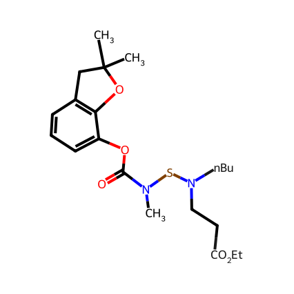 CCCCN(CCC(=O)OCC)SN(C)C(=O)Oc1cccc2c1OC(C)(C)C2